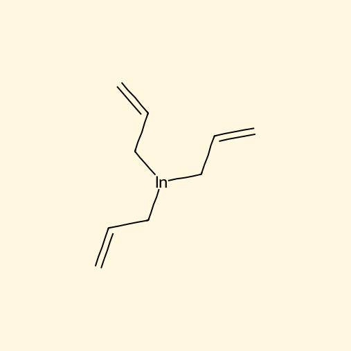 C=C[CH2][In]([CH2]C=C)[CH2]C=C